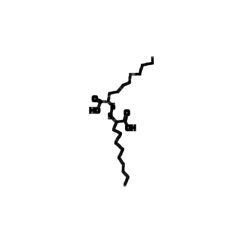 CCCCCCCCCC(SSC(CCCCCCCCC)C(=O)O)C(=O)O